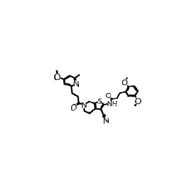 COc1cc(C)nc(CCC(=O)N2CCc3c(sc(NC(=O)CCc4cc(OC)ccc4OC)c3C#N)C2)c1